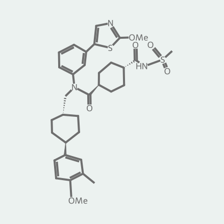 COc1ncc(-c2cccc(N(C[C@H]3CC[C@H](c4ccc(OC)c(C)c4)CC3)C(=O)[C@H]3CC[C@H](C(=O)NS(C)(=O)=O)CC3)c2)s1